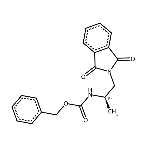 C[C@H](CN1C(=O)c2ccccc2C1=O)NC(=O)OCc1ccccc1